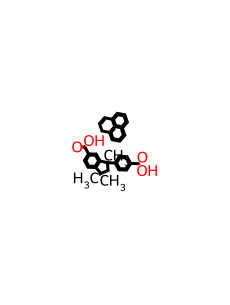 C1=Cc2cccc3cccc(c23)C1.CC1(C)CC(C)(c2ccc(C(=O)O)cc2)c2cc(C(=O)O)ccc21